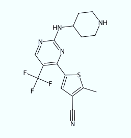 Cc1sc(-c2nc(NC3CCNCC3)ncc2C(F)(F)F)cc1C#N